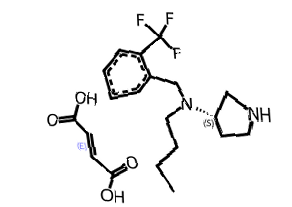 CCCCN(Cc1ccccc1C(F)(F)F)[C@H]1CCNC1.O=C(O)/C=C/C(=O)O